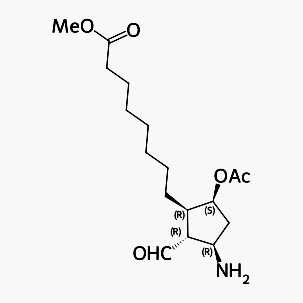 COC(=O)CCCCCCC[C@@H]1[C@@H](C=O)[C@H](N)C[C@@H]1OC(C)=O